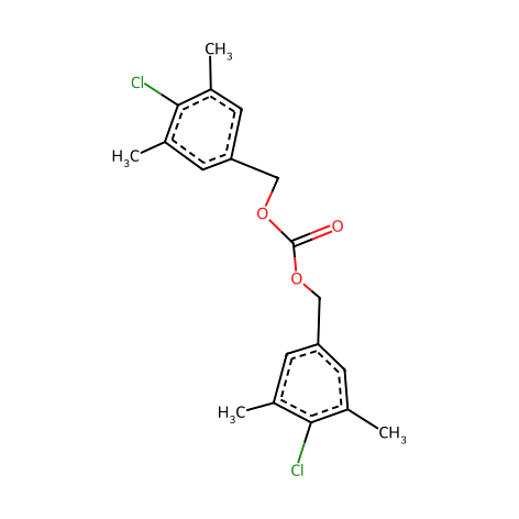 Cc1cc(COC(=O)OCc2cc(C)c(Cl)c(C)c2)cc(C)c1Cl